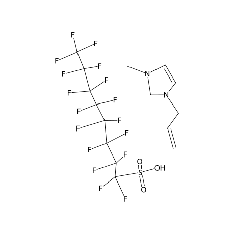 C=CCN1C=CN(C)C1.O=S(=O)(O)C(F)(F)C(F)(F)C(F)(F)C(F)(F)C(F)(F)C(F)(F)C(F)(F)C(F)(F)F